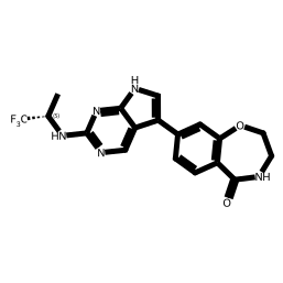 C[C@H](Nc1ncc2c(-c3ccc4c(c3)OCCNC4=O)c[nH]c2n1)C(F)(F)F